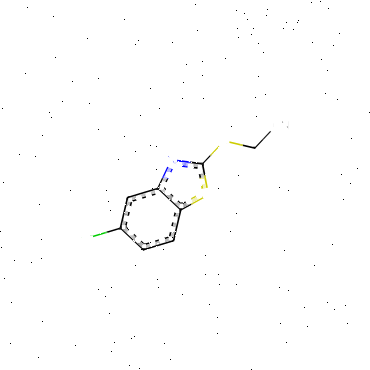 N#CCSc1nc2cc(Cl)ccc2s1